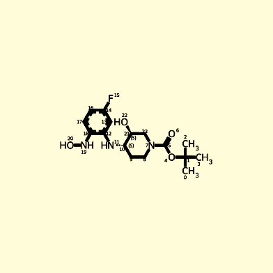 CC(C)(C)OC(=O)N1CC[C@H](Nc2cc(F)ccc2NO)[C@@H](O)C1